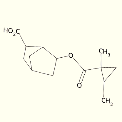 CC1CC1(C)C(=O)OC1CC2CC(C(=O)O)C1C2